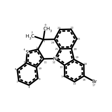 CC1(C)c2sc3ccccc3c2-n2c3ccc(Br)cc3c3cccc1c32